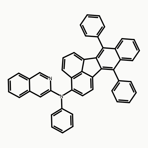 c1ccc(-c2c3c(c(-c4ccccc4)c4ccccc24)-c2ccc(N(c4ccccc4)c4cc5ccccc5cn4)c4cccc-3c24)cc1